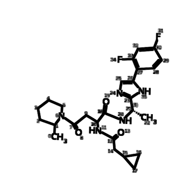 CC1CCCCN1C(=O)CC(NC(=O)CC1CC1)C(=O)N[C@@H](C)c1ncc(-c2ccc(F)cc2F)[nH]1